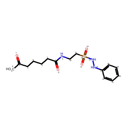 O=C(CCCCC(=O)C(=O)O)NCCS(=O)(=O)NNc1ccccc1